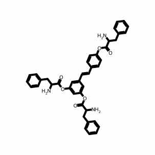 NC(Cc1ccccc1)C(=O)Oc1ccc(C=Cc2cc(OC(=O)C(N)Cc3ccccc3)cc(OC(=O)C(N)Cc3ccccc3)c2)cc1